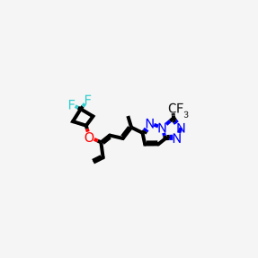 C=C/C(=C\C=C(/C)c1ccc2nnc(C(F)(F)F)n2n1)OC1CC(F)(F)C1